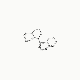 [c]1nnc2ccccc2c1C1OCCc2ccccc21